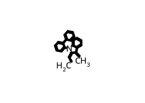 C=C/C=c1\c(=C/C)c2ccccc2n1-c1ccccc1-c1ccccc1